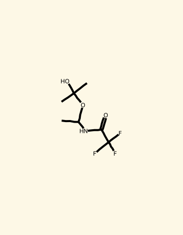 CC(NC(=O)C(F)(F)F)OC(C)(C)O